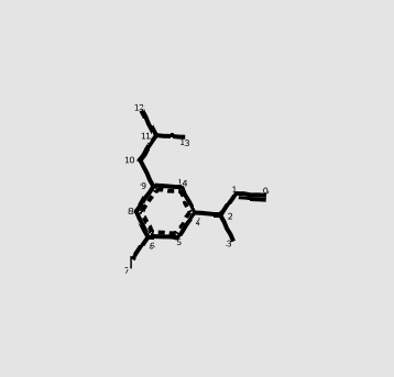 C=C[C](C)c1cc(I)cc(CC(C)C)c1